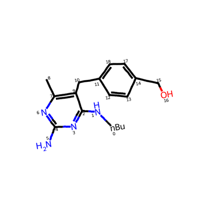 CCCCNc1nc(N)nc(C)c1Cc1ccc(CO)cc1